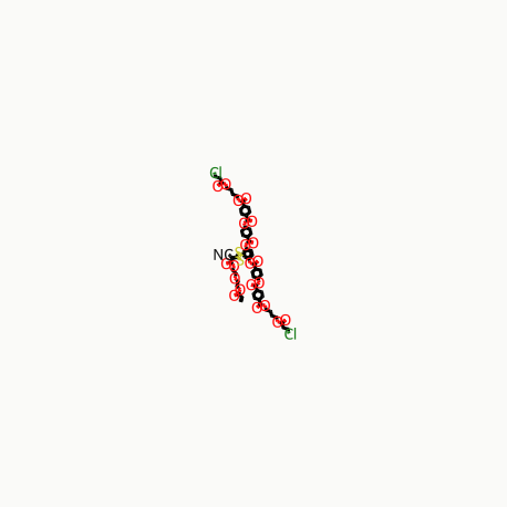 C=CC(=O)OCCOCCOC(=O)C(C#N)=C1Sc2c(OC(=O)C3CCC(OC(=O)C4CCC(C(=O)OCCCCOC(=O)CCCl)CC4)CC3)ccc(OC(=O)C3CCC(OC(=O)C4CCC(C(=O)OCCCCOC(=O)CCCl)CC4)CC3)c2S1